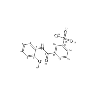 COc1ccccc1NC(=O)c1cccc(S(=O)(=O)Cl)c1